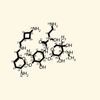 CN[C@@H]1[C@@H](O)[C@@H](O[C@H]2[C@H](NC(=O)N(O)CCN)C[C@H](N)C(O[C@H]3OC(CNCC4CC(N)C4)=CC[C@H]3N)[C@@H]2O)OC[C@]1(C)O